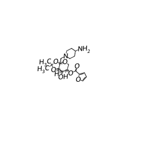 CC1(C)O[C@H]2[C@H](O)[C@H](OC(=O)c3ccco3)CO[C@@]2(CN2CCC(N)CC2)O1